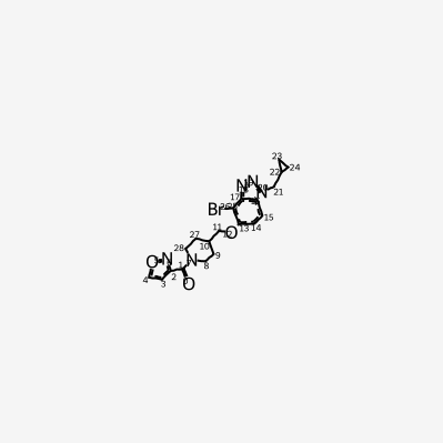 O=C(c1ccon1)N1CCC(COc2ccc3c(nnn3CC3CC3)c2Br)CC1